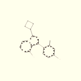 Nc1nccn2c(C3CCC3)nc(-c3ccc(Br)cc3F)c12